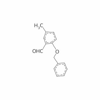 Cc1ccc(OCc2ccccc2)c(C=O)c1